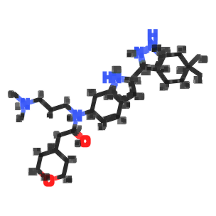 CN(C)CCCN(C(=O)CC1CCOCC1)C1C=Cc2cc(-c3n[nH]c4c3CCC(C)(C)C4)[nH]c2C1